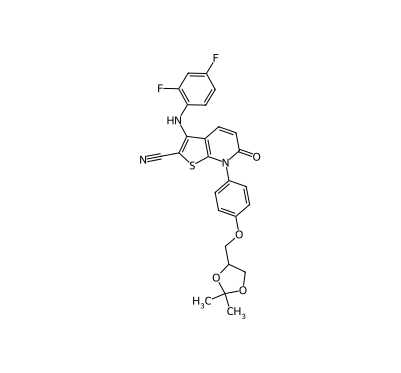 CC1(C)OCC(COc2ccc(-n3c(=O)ccc4c(Nc5ccc(F)cc5F)c(C#N)sc43)cc2)O1